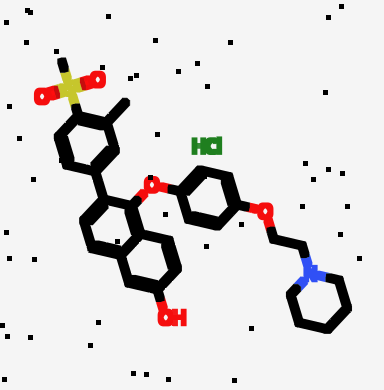 Cc1cc(-c2ccc3cc(O)ccc3c2Oc2ccc(OCCN3CCCCC3)cc2)ccc1S(C)(=O)=O.Cl